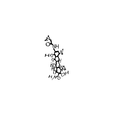 CN(C)CC(=O)NCc1cc(N(C)C)c2c(c1O)C(=O)C1=C(O)[C@@]3(O)C(=O)C(C(N)=O)=C(O)C(N(C)C)[C@H]3C[C@H]1C2